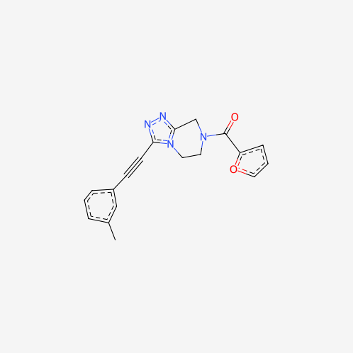 Cc1cccc(C#Cc2nnc3n2CCN(C(=O)c2ccco2)C3)c1